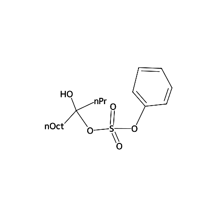 CCCCCCCCC(O)(CCC)OS(=O)(=O)Oc1ccccc1